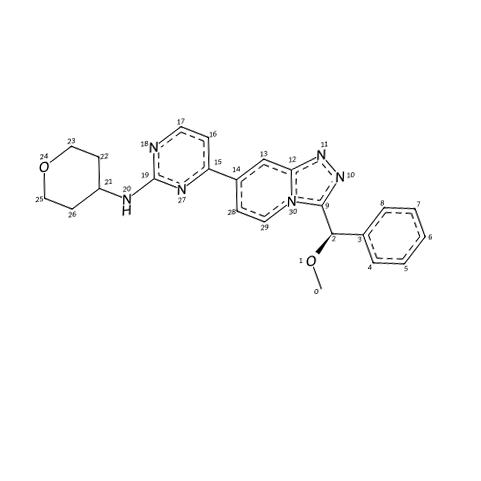 CO[C@H](c1ccccc1)c1nnc2cc(-c3ccnc(NC4CCOCC4)n3)ccn12